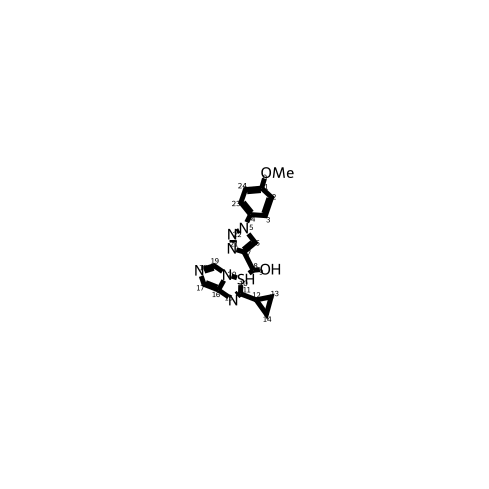 COc1ccc(-n2cc(C(O)[SH]3C(C4CC4)=Nc4cncn43)nn2)cc1